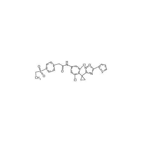 CCS(=O)(=O)c1ccc(CC(=O)Nc2cc(Cl)c(C3(c4noc(-c5cccs5)n4)CC3)c(Cl)c2)cc1